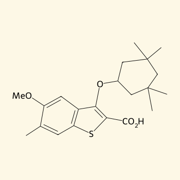 COc1cc2c(OC3CC(C)(C)CC(C)(C)C3)c(C(=O)O)sc2cc1C